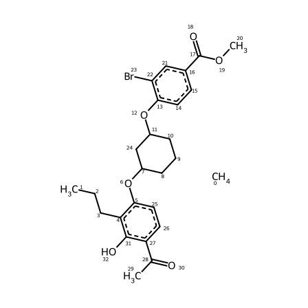 C.CCCc1c(OC2CCCC(Oc3ccc(C(=O)OC)cc3Br)C2)ccc(C(C)=O)c1O